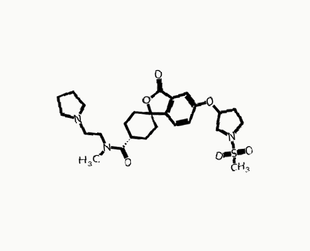 CN(CCN1CCCC1)C(=O)[C@H]1CC[C@@]2(CC1)OC(=O)c1cc(OC3CCN(S(C)(=O)=O)C3)ccc12